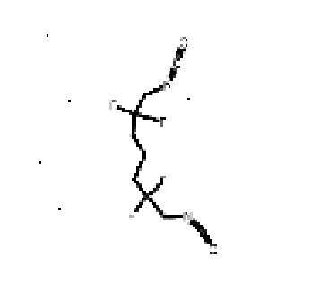 O=C=NCC(F)(F)CCCC(F)(F)CN=C=O